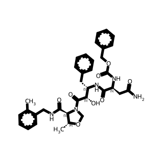 Cc1ccccc1CNC(=O)[C@@H]1[C@@H](C)OCN1C(=O)[C@@H](O)[C@H](Cc1ccccc1)NC(=O)[C@H](CC(N)=O)NC(=O)OCc1ccccc1